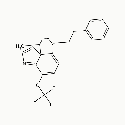 CC1CCN(CCc2ccccc2)C2=CC=C(OC(F)(F)F)C3=NC=CC231